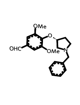 COc1cc(C=O)cc(OC)c1O[C@@H]1CCN(Cc2ccccc2)C1